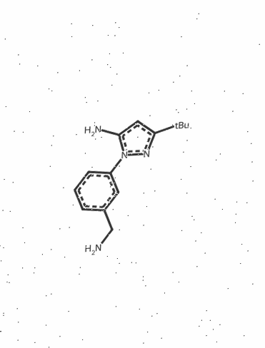 CC(C)(C)c1cc(N)n(-c2cccc(CN)c2)n1